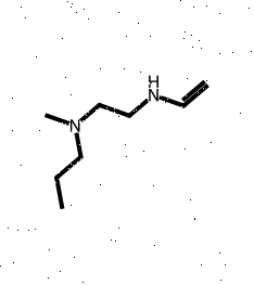 C=CNCCN(C)CCC